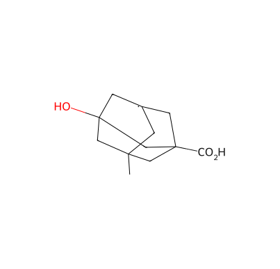 CC12C[C]3CC(O)(C1)CC(C(=O)O)(C3)C2